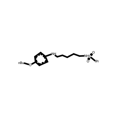 CCCCOc1ccc(NCCCCCNS(=O)(=O)C(C)C)cc1